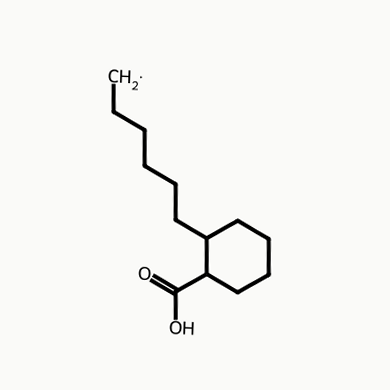 [CH2]CCCCCC1CCCCC1C(=O)O